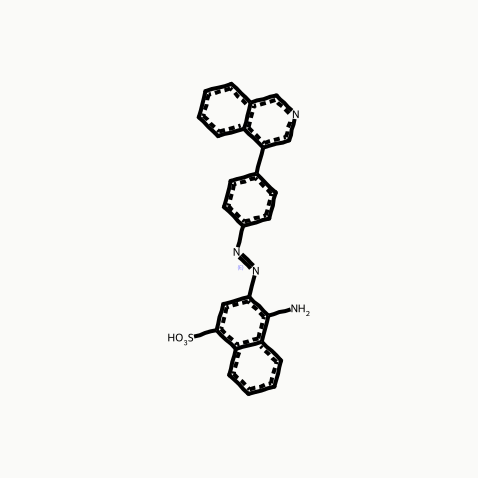 Nc1c(/N=N/c2ccc(-c3cncc4ccccc34)cc2)cc(S(=O)(=O)O)c2ccccc12